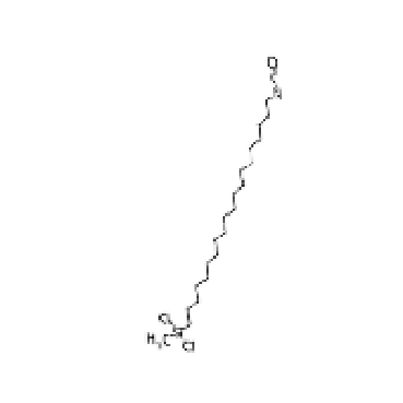 C[Si](Cl)(Cl)CCCCCCCCCCCCCCCCCCCCN=C=O